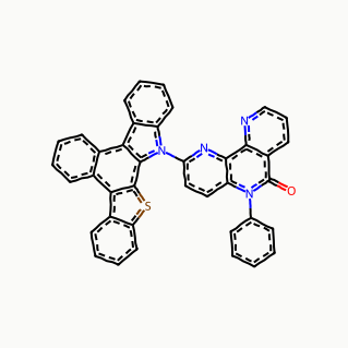 O=c1c2cccnc2c2nc(-n3c4ccccc4c4c5ccccc5c5c6ccccc6sc5c43)ccc2n1-c1ccccc1